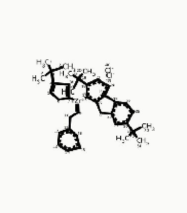 CC(C)(C)C1=CC[C]([Zr+2](=[CH]Cc2ccccc2)[c]2c(C(C)(C)C)ccc3c2Cc2cc(C(C)(C)C)ccc2-3)=C1.[Cl-].[Cl-]